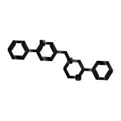 c1ccc(-c2ccc(CN3CCOC(c4ccccc4)C3)cn2)cc1